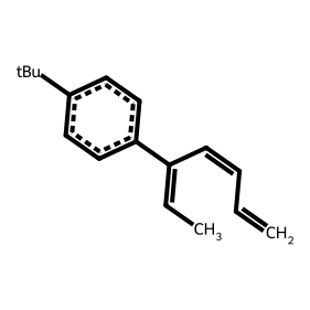 C=C/C=C\C(=C/C)c1ccc(C(C)(C)C)cc1